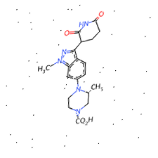 C[C@@H]1CN(C(=O)O)CCN1c1ccc2c(C3CCC(=O)NC3=O)nn(C)c2c1